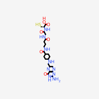 Nc1nc2ncc(CNC3CCC(C(=O)NCCCC(=O)NCC(=O)N[C@@H](CS)C(=O)O)CC3)nc2c(=O)[nH]1